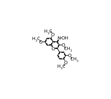 COc1cc(OC)c2c(=NO)c(OC)c(-c3ccc(OC)c(OC)c3)oc2c1